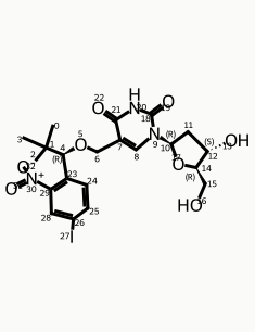 CC(C)(C)[C@@H](OCc1cn([C@H]2C[C@H](O)[C@@H](CO)O2)c(=O)[nH]c1=O)c1ccc(I)cc1[N+](=O)[O-]